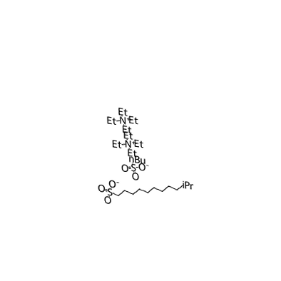 CC(C)CCCCCCCCCS(=O)(=O)[O-].CCCCS(=O)(=O)[O-].CC[N+](CC)(CC)CC.CC[N+](CC)(CC)CC